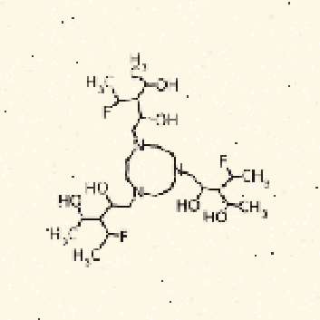 CC(O)C(C(C)F)C(O)CN1CCN(CC(O)C(C(C)O)C(C)F)CCN(CC(O)C(C(C)O)C(C)F)CC1